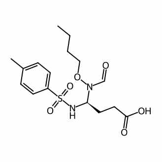 CCCCON(C=O)[C@@H](CCC(=O)O)NS(=O)(=O)c1ccc(C)cc1